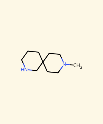 CN1CCC2(CCCNC2)CC1